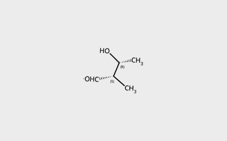 C[C@H]([C]=O)[C@@H](C)O